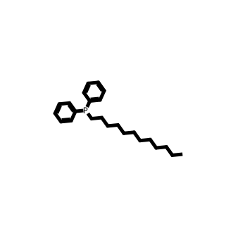 CCCCCCCCCCCCP(c1ccccc1)c1ccccc1